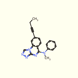 CCC#Cc1ccc2c(N(C)c3ccccc3)nc3nncn3c2c1